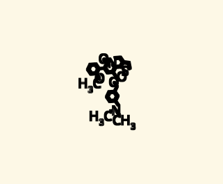 CCN(CC)Cc1cccc(COC(=O)c2cc(-c3ccccc3OC)c(=O)n3ccc4ccsc4c23)c1